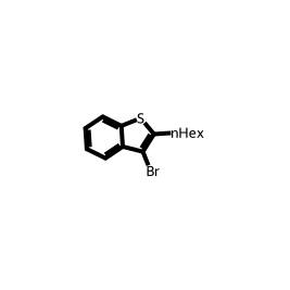 CCCCCCc1sc2ccccc2c1Br